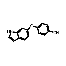 N#Cc1ccc(Oc2ccc3[c]c[nH]c3c2)cc1